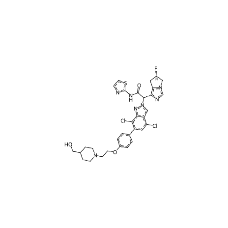 O=C(Nc1nccs1)C(c1ncn2c1C[C@@H](F)C2)n1cc2c(Cl)cc(-c3ccc(OCCN4CCC(CO)CC4)cc3)c(Cl)c2n1